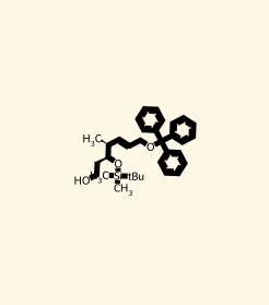 C[C@H](C=CCOC(c1ccccc1)(c1ccccc1)c1ccccc1)[C@H](CCO)O[Si](C)(C)C(C)(C)C